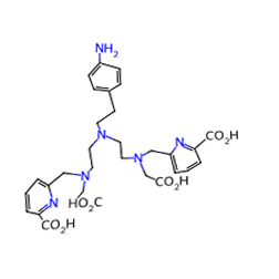 Nc1ccc(CCN(CCN(CC(=O)O)Cc2cccc(C(=O)O)n2)CCN(CC(=O)O)Cc2cccc(C(=O)O)n2)cc1